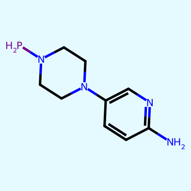 Nc1ccc(N2CCN(P)CC2)cn1